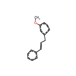 COc1cccc(CC=Cc2ccccc2)c1